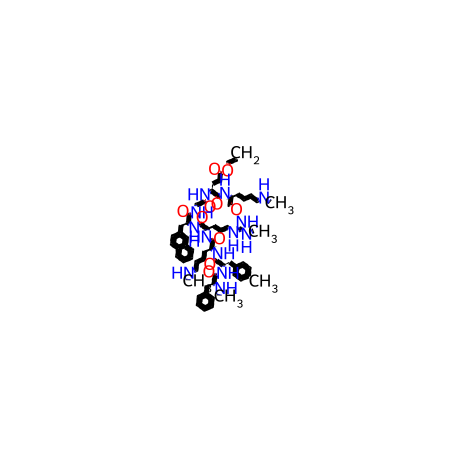 C=CCOC(=O)CC[C@@H](NC(=O)CNC(=O)[C@H](Cc1ccc2ccccc2c1)NC(=O)[C@@H](CCCNC(=N)NC)NC(=O)[C@H](CCCCNC)NC(=O)[C@H](Cc1ccc(C)cc1)NC(=O)[C@H](Cc1ccccc1)NC)C(=O)N[C@H](C=O)CCCCNC